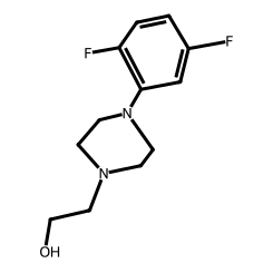 OCCN1CCN(c2cc(F)ccc2F)CC1